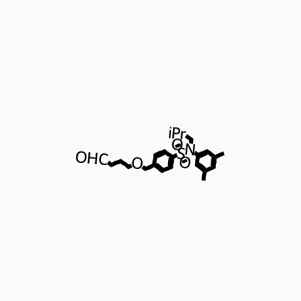 Cc1cc(C)cc(N(CC(C)C)S(=O)(=O)c2ccc(COCCCC=O)cc2)c1